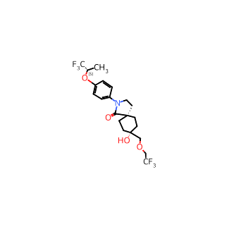 C[C@H](Oc1ccc(N2CC[C@]3(CC[C@](O)(COCC(F)(F)F)CC3)C2=O)cc1)C(F)(F)F